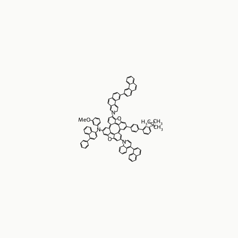 COc1cccc(N(c2cc3oc4cc(N5C=CC(c6cccc7ccccc67)=C6C=CC=CC65)cc5c6cc(-c7ccc(-c8cccc([Si](C)(C)C)c8)cc7)cc7oc8c(N9C=c%10ccc%11ccc(-c%12ccc%13ccc%14ccccc%14c%13c%12)cc%11c%10=CC9)ccc(c(c2)c3c45)c8c76)c2ccc(-c3ccccc3)c3ccccc23)c1